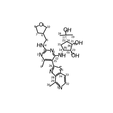 Cc1nc(NCC2CCOC2)nc(N[C@@H]2C[C@H](C(C)(C)O)[C@@H](O)[C@H]2O)c1-c1nc2c(C)nccc2s1